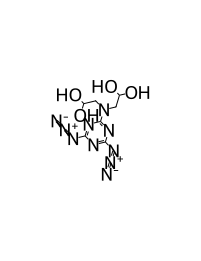 [N-]=[N+]=Nc1nc(N=[N+]=[N-])nc(N(CC(O)O)CC(O)O)n1